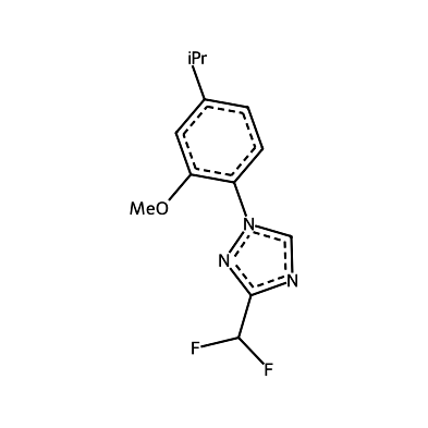 COc1cc(C(C)C)ccc1-n1cnc(C(F)F)n1